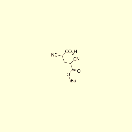 CCC(C)OC(=O)C(C#N)CC(C#N)C(=O)O